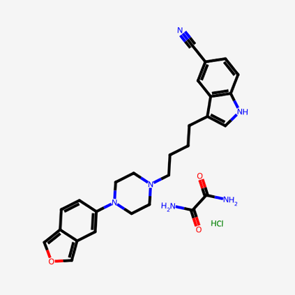 Cl.N#Cc1ccc2[nH]cc(CCCCN3CCN(c4ccc5cocc5c4)CC3)c2c1.NC(=O)C(N)=O